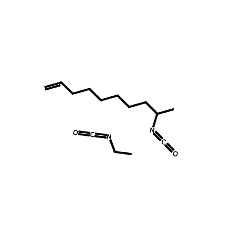 C=CCCCCCCC(C)N=C=O.CCN=C=O